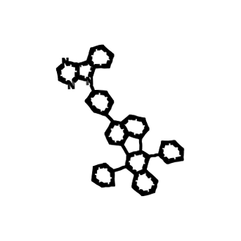 c1ccc(-c2c3c(c(-c4ccccc4)c4ccccc24)-c2ccc(-c4ccc(-n5c6ccccc6c6nccnc65)cc4)c4cccc-3c24)cc1